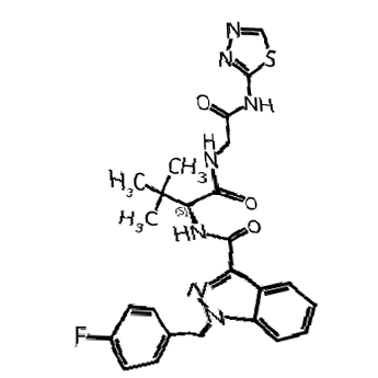 CC(C)(C)[C@H](NC(=O)c1nn(Cc2ccc(F)cc2)c2ccccc12)C(=O)NCC(=O)Nc1nncs1